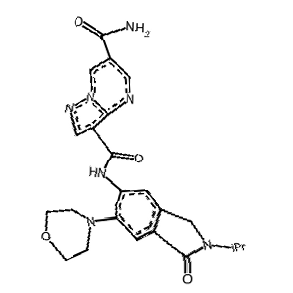 CC(C)N1Cc2cc(NC(=O)c3cnn4cc(C(N)=O)cnc34)c(N3CCOCC3)cc2C1=O